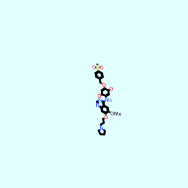 COc1cc2c(NC3=CC(=O)C(OCc4ccc(S(C)(=O)=O)cc4)=CC3=O)ncnc2cc1OCCCN1CCCC1